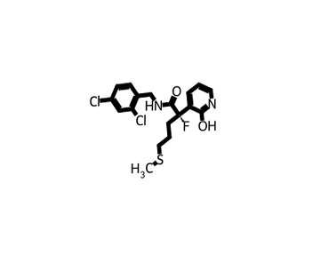 CSCCC[C@@](F)(C(=O)NCc1ccc(Cl)cc1Cl)c1cccnc1O